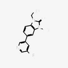 Cn1c(=O)n(CC(C)(C)C)c2ccc(-c3cncc(C(F)(F)F)c3)cc21